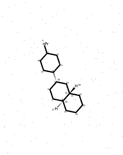 CCCC1CCC([C@H]2CC[C@@H]3CCCC[C@H]3C2)CC1